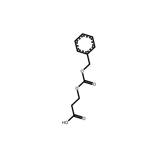 O=C(O)CCOC(=O)OCc1ccccc1